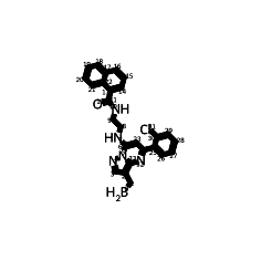 BCc1cnn2c(NCCNC(=O)c3cccc4ccccc34)cc(-c3ccccc3Cl)nc12